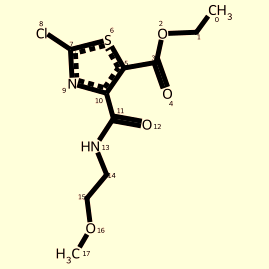 CCOC(=O)c1sc(Cl)nc1C(=O)NCCOC